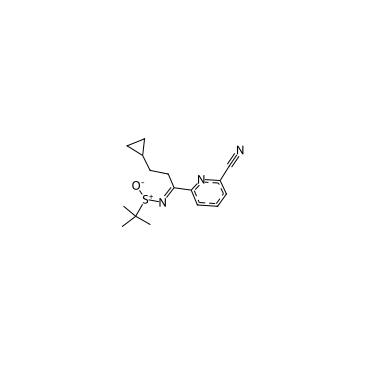 CC(C)(C)[S+]([O-])N=C(CCC1CC1)c1cccc(C#N)n1